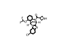 O=C(C1CNC1)N1c2cccc(OC(F)F)c2[C@H]2C[C@@H]1c1nc3ccc(Cl)cc3n12